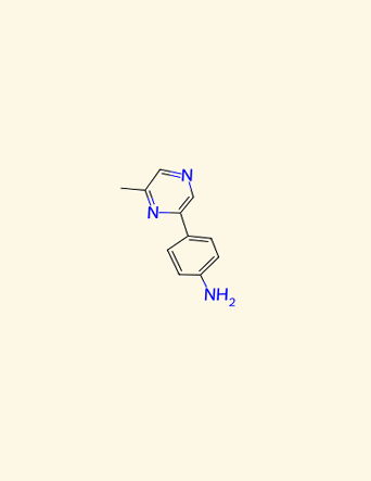 Cc1cncc(-c2ccc(N)cc2)n1